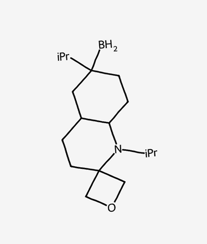 BC1(C(C)C)CCC2C(CCC3(COC3)N2C(C)C)C1